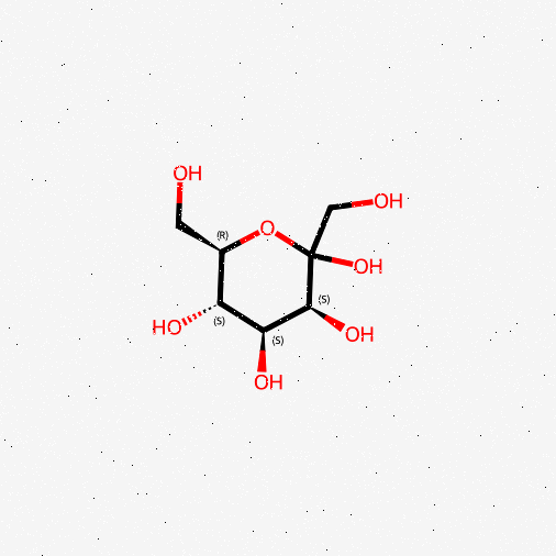 OC[C@H]1OC(O)(CO)[C@@H](O)[C@@H](O)[C@@H]1O